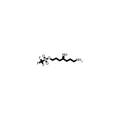 N=C(CCCN)CCCOS(=O)(=O)C(F)(F)F